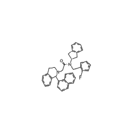 O=C(CN1CCc2ccccc2C1c1cccc2ccccc12)N(Cc1ccccc1F)C1Cc2ccccc2C1